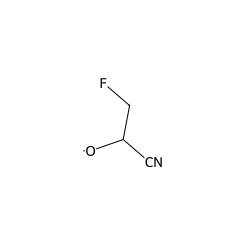 N#CC([O])CF